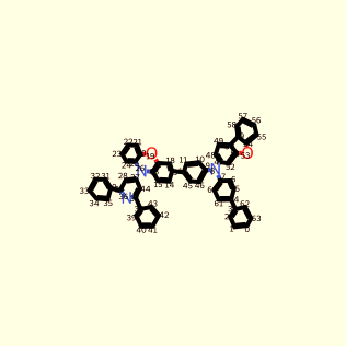 c1ccc(-c2ccc(N(c3ccc(-c4ccc5c(c4)Oc4ccccc4N5c4cc(-c5ccccc5)nc(-c5ccccc5)c4)cc3)c3ccc4c(c3)oc3ccccc34)cc2)cc1